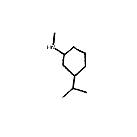 CNC1CCCC(C(C)C)C1